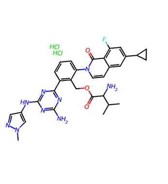 CC(C)C(N)C(=O)OCc1c(-c2nc(N)nc(Nc3cnn(C)c3)n2)cccc1-n1ccc2cc(C3CC3)cc(F)c2c1=O.Cl.Cl